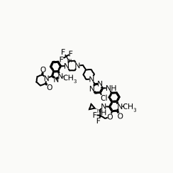 Cn1nc(N2C(=O)CCCC2=O)c2cccc(N3CCN(CC4CCN(c5ncc(Cl)c(Nc6ccc7c(c6)c6c(c(=O)n7C)OCC(F)(F)[C@H](C7CC7)N6)n5)CC4)C[C@@H]3C(F)(F)F)c21